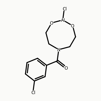 O=C(c1cccc(Cl)c1)N1CC[O][Al]([Cl])[O]CC1